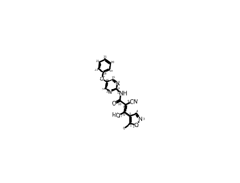 Cc1oncc1/C(O)=C(\C#N)C(=O)Nc1ncc(Oc2ccccc2)cn1